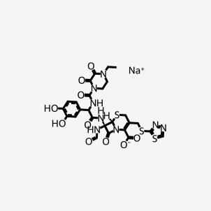 CCN1CCN(C(=O)NC(C(=O)N[C@]2(NC=O)C(=O)N3C(C(=O)[O-])=C(CSc4nncs4)CS[C@H]32)c2ccc(O)c(O)c2)C(=O)C1=O.[Na+]